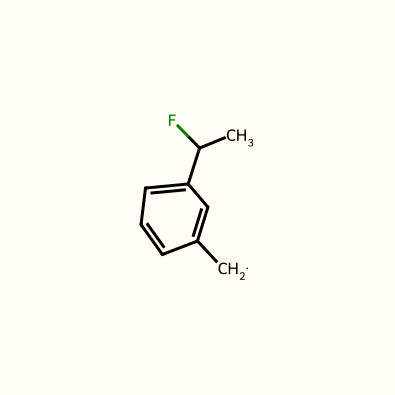 [CH2]c1cccc(C(C)F)c1